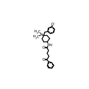 CN(C)C1(Cc2cccc(Cl)c2)CCC(NC(=O)CCCC(=O)c2ccccc2)CC1